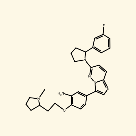 CN1CCCC1CCOc1ccc(-c2cnc3ccc(N4CCCC4c4cccc(F)c4)nn23)cc1N